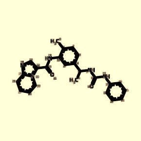 Cc1ccc(C(C)NC(=O)Nc2ccccc2)cc1NC(=O)c1cnc2ccccn12